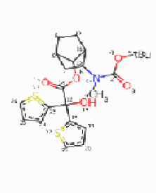 CN(C(=O)OC(C)(C)C)C1CC2CCC1C2OC(=O)C(O)(c1cccs1)c1cccs1